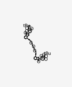 CC(C)(C)OC(=O)N1C(=O)CCC(N2Cc3c(C#CCOCCOCCOCC#Cc4cccc5c4CN(C4CCC(=O)N(C(=O)OC(C)(C)C)C4=O)C5=O)cccc3C2=O)C1=O